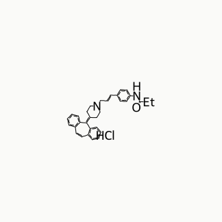 CCC(=O)Nc1ccc(/C=C/CN2CCC(=C3c4ccccc4C=Cc4ccccc43)CC2)cc1.Cl